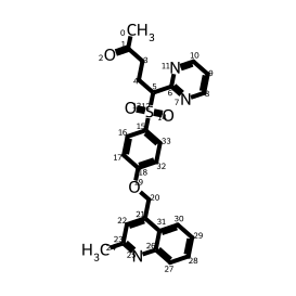 CC(=O)CCC(c1ncccn1)S(=O)(=O)c1ccc(OCc2cc(C)nc3ccccc23)cc1